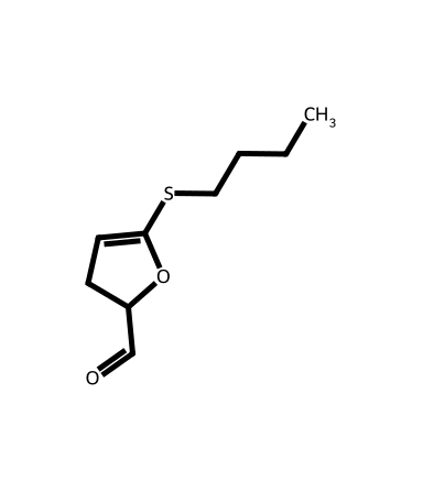 CCCCSC1=CCC(C=O)O1